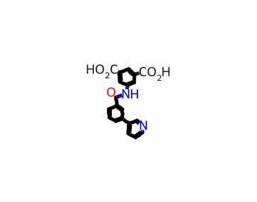 O=C(O)c1cc(NC(=O)c2cccc(-c3cccnc3)c2)cc(C(=O)O)c1